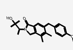 COc1ccc(Cc2cc3c(c(C)c2C)CN(C(C)C(C)(C)O)C3=O)cc1